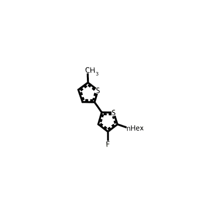 CCCCCCc1sc(-c2ccc(C)s2)cc1F